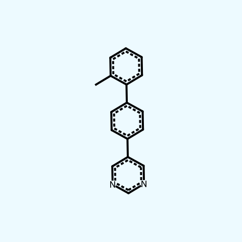 Cc1ccccc1-c1ccc(-c2cncnc2)cc1